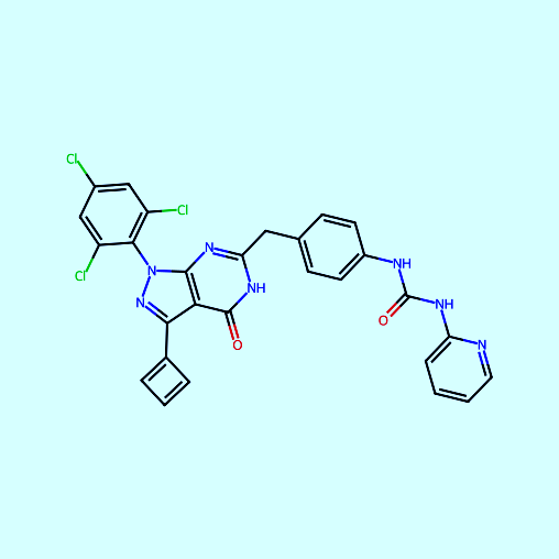 O=C(Nc1ccc(Cc2nc3c(c(C4=CC=C4)nn3-c3c(Cl)cc(Cl)cc3Cl)c(=O)[nH]2)cc1)Nc1ccccn1